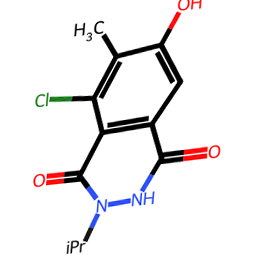 Cc1c(O)cc2c(=O)[nH]n(C(C)C)c(=O)c2c1Cl